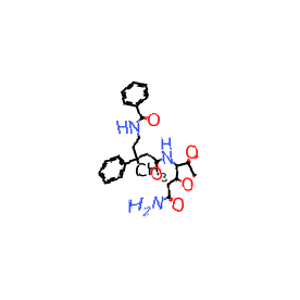 CC(CCNC(=O)c1ccccc1)(CC(=O)NC1C(=O)COC1CC(N)=O)c1ccccc1